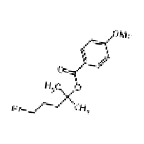 COc1ccc(C(=O)OC(C)(C)CCCC(C)C)cc1